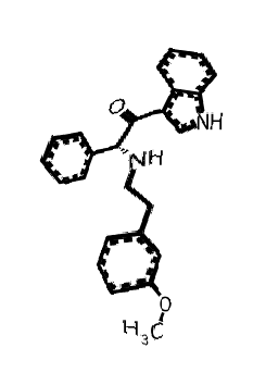 COc1cccc(CCN[C@@H](C(=O)c2c[nH]c3ccccc23)c2ccccc2)c1